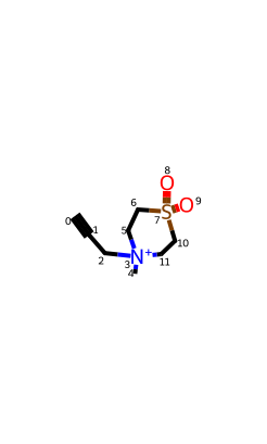 C#CC[N+]1(C)CCS(=O)(=O)CC1